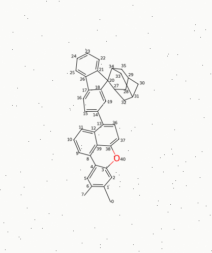 Cc1cc2c(cc1C)-c1cccc3c(-c4ccc5c(c4)C4(c6ccccc6-5)C5CC6CC(C5)CC4C6)ccc(c13)O2